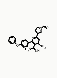 N=C(N)C1=C(c2ccc(Oc3ccccc3)cc2)N=C(C2CCN(C=O)C2)CC1N